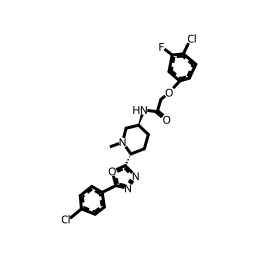 CN1C[C@@H](NC(=O)COc2ccc(Cl)c(F)c2)CC[C@@H]1c1nnc(-c2ccc(Cl)cc2)o1